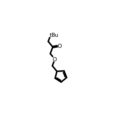 CC(C)(C)CC(=O)COCC1C=CC=C1